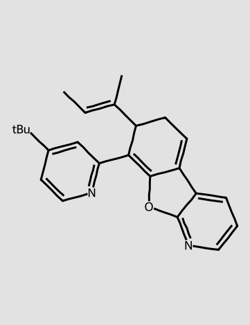 CC=C(C)C1CC=c2c(oc3ncccc23)=C1c1cc(C(C)(C)C)ccn1